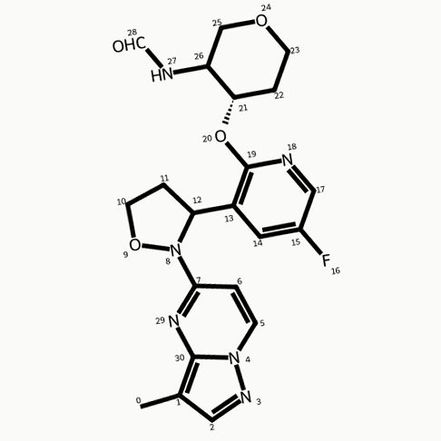 Cc1cnn2ccc(N3OCCC3c3cc(F)cnc3O[C@H]3CCOCC3NC=O)nc12